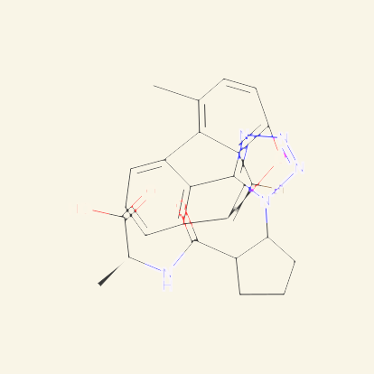 Cc1ccc2oc3c(Br)c2c1-c1cccc-3c1-c1nnnn1C1CCCC1C(=O)N[C@@H](C)C(=O)O